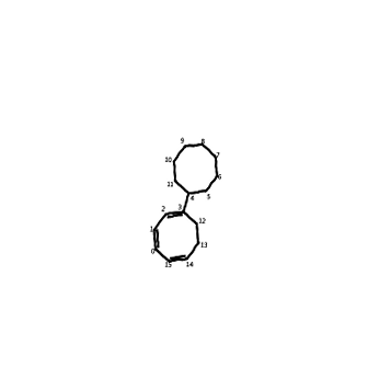 C1=CC=C(C2CCCCCCC2)CCC=C1